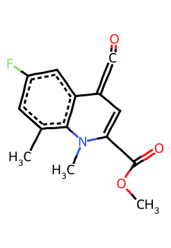 COC(=O)C1=CC(=C=O)c2cc(F)cc(C)c2N1C